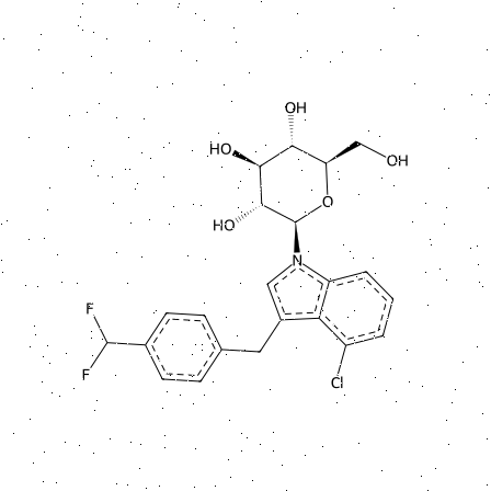 OC[C@H]1O[C@@H](n2cc(Cc3ccc(C(F)F)cc3)c3c(Cl)cccc32)[C@H](O)[C@@H](O)[C@@H]1O